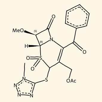 CO[C@H]1C(=O)N2C(C(=O)c3ccccc3)=C(COC(C)=O)C(Sc3nnnn3C)S(=O)(=O)[C@H]12